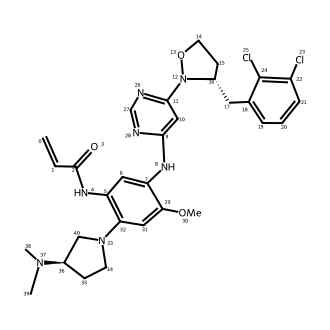 C=CC(=O)Nc1cc(Nc2cc(N3OCC[C@@H]3Cc3cccc(Cl)c3Cl)ncn2)c(OC)cc1N1CC[C@@H](N(C)C)C1